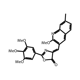 COc1cc(C2=N/C(=C\c3cc4ccc(C)cc4nc3OC)C(=O)O2)cc(OC)c1OC